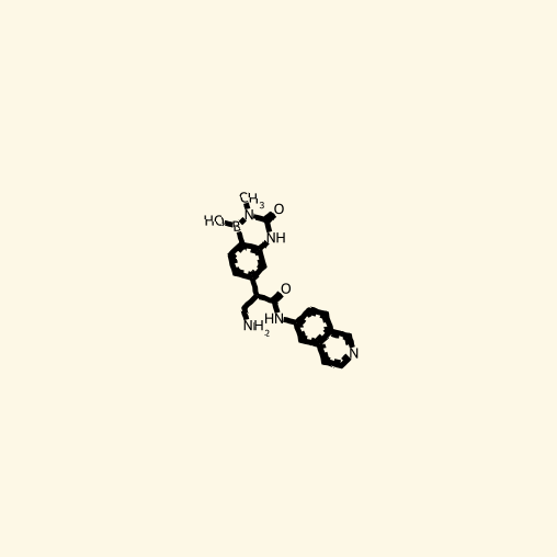 CN1B(O)c2ccc(C(CN)C(=O)Nc3ccc4cnccc4c3)cc2NC1=O